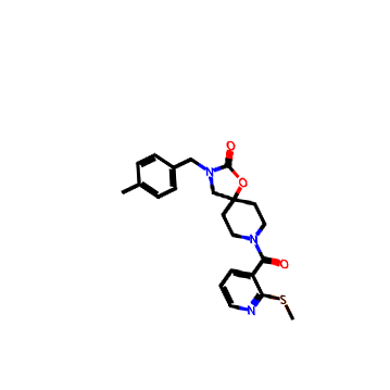 CSc1ncccc1C(=O)N1CCC2(CC1)CN(Cc1ccc(C)cc1)C(=O)O2